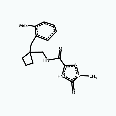 CSc1ccccc1CC1(CNC(=O)c2nn(C)c(=O)[nH]2)CCC1